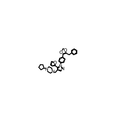 c1ccc(CC2=C(c3ccc(-n4ncc(CN5CCN(C6CCCC6)CC5)c4-c4ccco4)cc3)OCO2)cc1